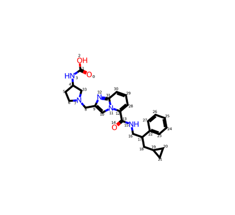 O=C(O)NC1CCN(Cc2cn3c(C(=O)NCC(CC4CC4)c4ccccc4)cccc3n2)C1